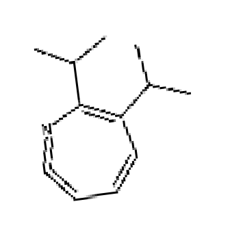 CC(C)C1=C(C(C)C)N=C=CC=C1